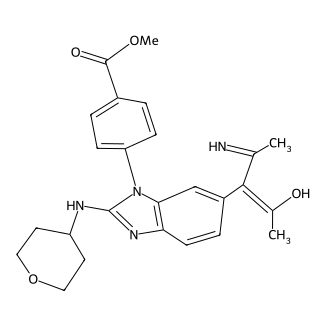 COC(=O)c1ccc(-n2c(NC3CCOCC3)nc3ccc(/C(C(C)=N)=C(\C)O)cc32)cc1